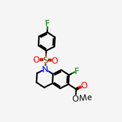 COC(=O)c1cc2c(cc1F)N(S(=O)(=O)c1ccc(F)cc1)CCC2